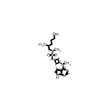 CC(CCCO)CN(C)S(=O)(=O)C[C@H]1C[C@@H](N(C)c2ncnc3[nH]ccc23)C1